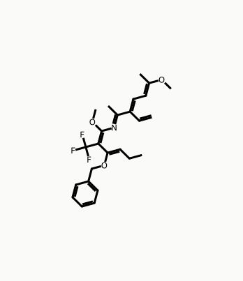 C=CC(=C\C=C(/C)OC)/C(C)=N/C(OC)=C(\C(=C\CC)OCc1ccccc1)C(F)(F)F